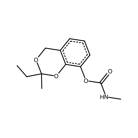 CCC1(C)OCc2cccc(OC(=O)NC)c2O1